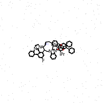 CC(C)c1cc(-c2ccccc2)cc(C(C)C)c1-n1c2[n+](c3ccccc31)CC1c3cc(F)cc4c5ccccc5n5cc[n+](c5c34)C1/C=C/Cc1ccc3c(oc4cc(-c5ccccc5)ccc43)c1-2